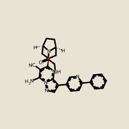 N#Cc1c([C@H]2C[C@H]3CC[C@@H](C2)N3C(=O)CO)nc2c(-c3ccc(-c4ccccc4)nc3)cnn2c1N